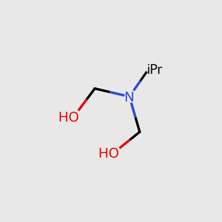 CC(C)N(CO)CO